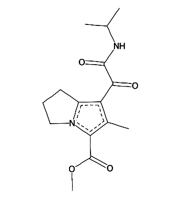 COC(=O)c1c(C)c(C(=O)C(=O)NC(C)C)c2n1CCC2